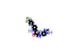 Cc1nc2cc(-n3ncc(C(=O)c4cc5ccc(-c6ccc(C(F)(F)F)cn6)cc5[nH]4)c3N)ccc2[nH]1